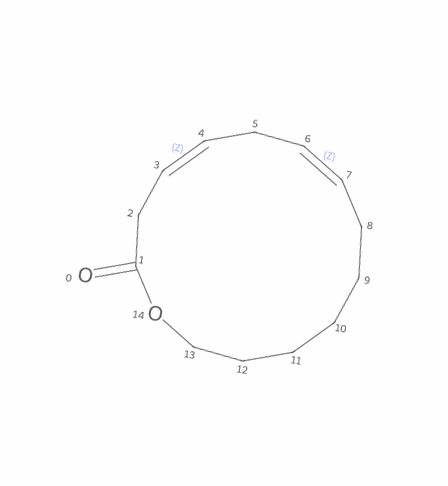 O=C1C/C=C\C/C=C\CCCCCCO1